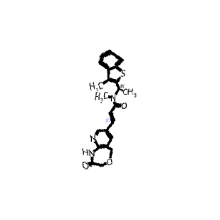 Cc1c([C@@H](C)N(C)C(=O)/C=C/c2cnc3c(c2)COCC(=O)N3)sc2ccccc12